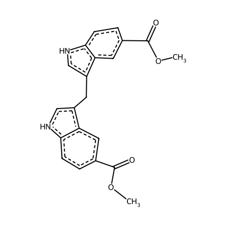 COC(=O)c1ccc2[nH]cc(Cc3c[nH]c4ccc(C(=O)OC)cc34)c2c1